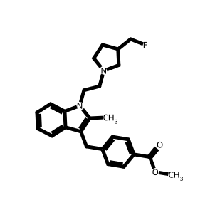 COC(=O)c1ccc(Cc2c(C)n(CCN3CCC(CF)C3)c3ccccc23)cc1